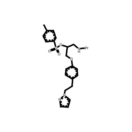 Cc1ccc(S(=O)(=O)OC(CNC(C)C)COc2ccc(CCn3cccn3)cc2)cc1